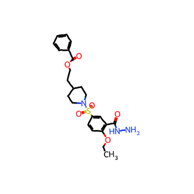 CCOc1ccc(S(=O)(=O)N2CCC(CCOC(=O)c3ccccc3)CC2)cc1C(=O)NN